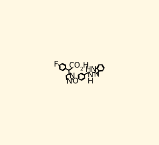 O=C(O)CC(c1ccc(F)cc1)c1ccnc(Oc2ccc(CNc3nc4ccccc4[nH]3)cc2)n1